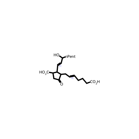 CCCCCC(O)/C=C/C1C(C(=O)O)CC(=O)C1C/C=C/CCCC(=O)O